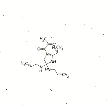 C=CCNC(CNC(=O)C(=C)C)(NCC=C)NCC=C